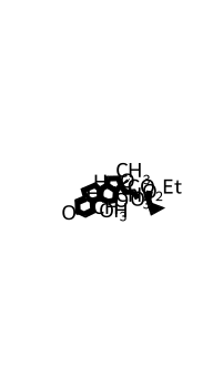 CCOC(=O)O[C@]1(C(=O)COC(=O)C2CC2)[C@H](C)C[C@H]2[C@@H]3CCC4=CC(=O)C=C[C@]4(C)[C@@]3(Cl)C(O)C[C@@]21C